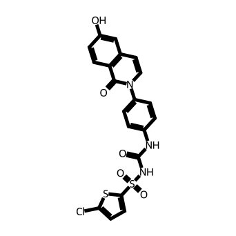 O=C(Nc1ccc(-n2ccc3cc(O)ccc3c2=O)cc1)NS(=O)(=O)c1ccc(Cl)s1